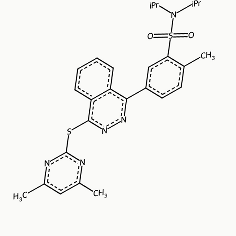 Cc1cc(C)nc(Sc2nnc(-c3ccc(C)c(S(=O)(=O)N(C(C)C)C(C)C)c3)c3ccccc23)n1